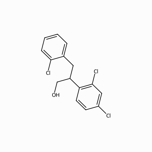 OCC(Cc1ccccc1Cl)c1ccc(Cl)cc1Cl